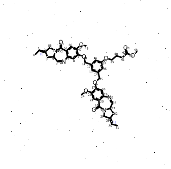 C/C=C1\CC2C=Nc3cc(OCc4cc(COc5cc6c(cc5OC)C(=O)N5C/C(=C/C)CC5C=N6)cc(OCCCC(=O)OC)c4)c(OC)cc3C(=O)N2C1